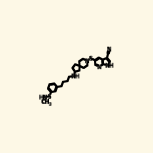 CNSc1cccc(CCCCNC2CCC3(CCN(Sc4cnc5[nH]cc(C#N)c5c4)CC3)C2)c1